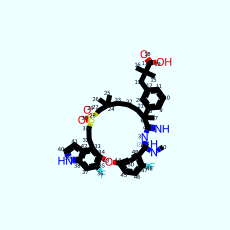 CN/C1=N\C(=N)C(C)(c2cccc(CC(C)(C)C(=O)O)c2)CCCC(C)(C)CS(=O)(=O)CCc2c(c(F)cc3[nH]ccc23)Oc2ccc(F)c1c2